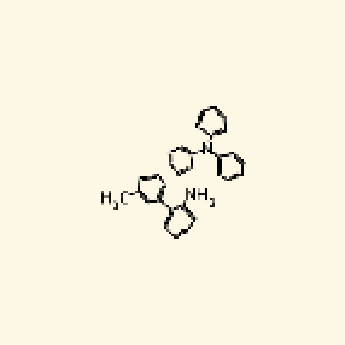 Cc1cccc(-c2ccccc2N)c1.c1ccc(N(c2ccccc2)c2ccccc2)cc1